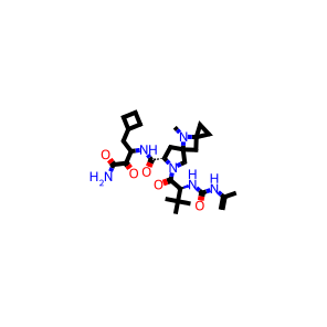 C=C(C)NC(=O)N[C@H](C(=O)N1CC2(C[C@H]1C(=O)NC(CC1CCC1)C(=O)C(N)=O)CC1(CC1)N2C)C(C)(C)C